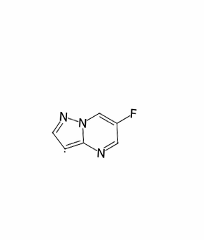 Fc1cnc2[c]cnn2c1